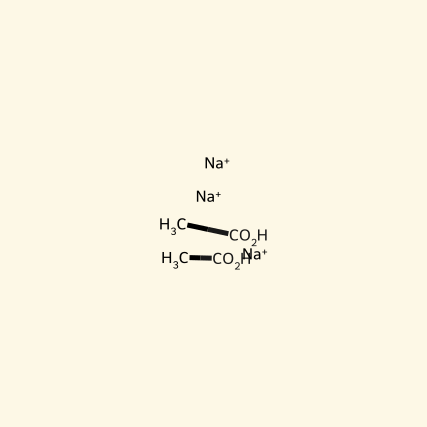 CC(=O)O.CC(=O)O.[Na+].[Na+].[Na+]